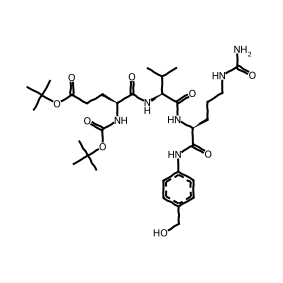 CC(C)[C@H](NC(=O)[C@H](CCC(=O)OC(C)(C)C)NC(=O)OC(C)(C)C)C(=O)N[C@@H](CCCNC(N)=O)C(=O)Nc1ccc(CO)cc1